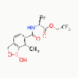 Cc1c(C(=O)N[C@H](C(=O)OCC(F)(F)F)C(C)C)ccc2c1B(O)OC2